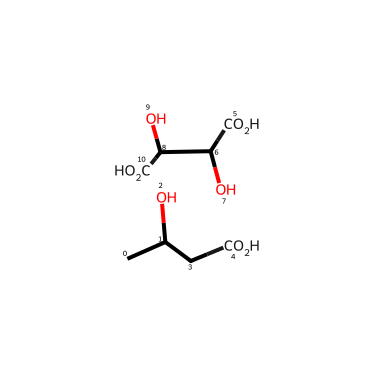 CC(O)CC(=O)O.O=C(O)C(O)C(O)C(=O)O